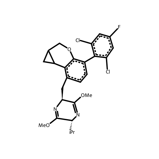 COC1=N[C@H](C(C)C)C(OC)=N[C@H]1Cc1ccc(-c2c(Cl)cc(F)cc2Cl)c2c1C1CC1CO2